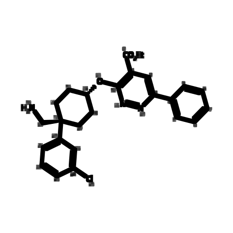 CCOC(=O)c1cc(-c2ccccc2)nnc1O[C@H]1CC[C@@](CN)(c2cccc(Cl)c2)CC1